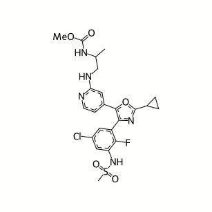 COC(=O)NC(C)CNc1cc(-c2oc(C3CC3)nc2-c2cc(Cl)cc(NS(C)(=O)=O)c2F)ccn1